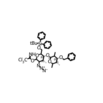 CC1O[C@@H](O[C@H]2C(CO[Si](c3ccccc3)(c3ccccc3)C(C)(C)C)OC(OC(=N)C(Cl)(Cl)Cl)C(N=[N+]=[N-])[C@H]2C)C(C)[C@H](OCc2ccccc2)[C@@H]1C